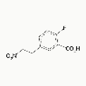 O=C(O)c1cc(CC[N+](=O)[O-])ccc1F